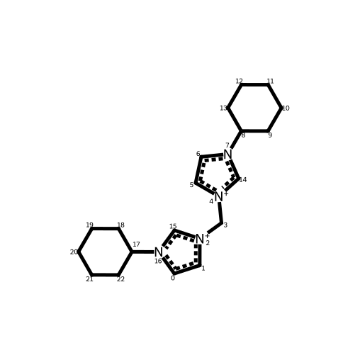 c1c[n+](C[n+]2ccn(C3CCCCC3)c2)cn1C1CCCCC1